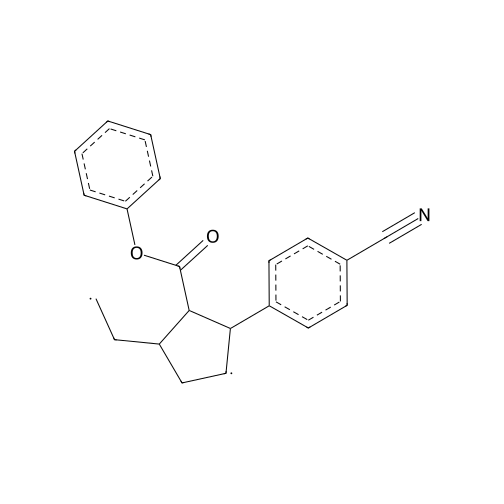 [CH2]CC1C[CH]C(c2ccc(C#N)cc2)C1C(=O)Oc1ccccc1